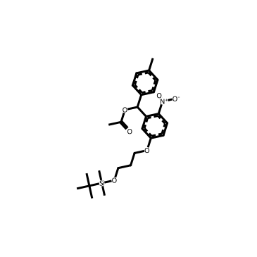 CC(=O)OC(c1ccc(C)cc1)c1cc(OCCCO[Si](C)(C)C(C)(C)C)ccc1[N+](=O)[O-]